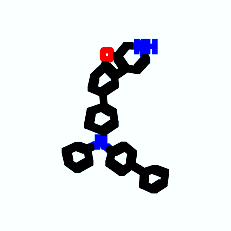 C1=Cc2c(oc3ccc(-c4ccc(N(c5ccccc5)c5ccc(-c6ccccc6)cc5)cc4)cc23)CN1